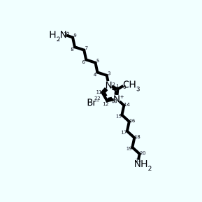 Cc1n(CCCCCCCN)cc[n+]1CCCCCCCN.[Br-]